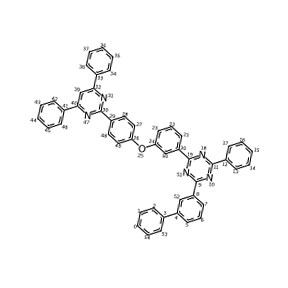 c1ccc(-c2cccc(-c3nc(-c4ccccc4)nc(-c4cccc(Oc5ccc(-c6nc(-c7ccccc7)cc(-c7ccccc7)n6)cc5)c4)n3)c2)cc1